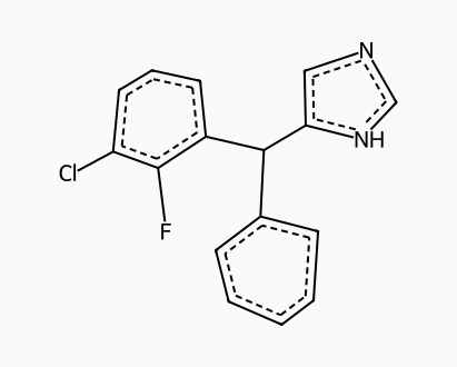 Fc1c(Cl)cccc1C(c1ccccc1)c1cnc[nH]1